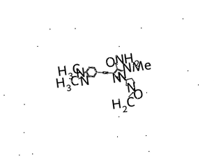 C=CC(=O)N1CC[C@H](n2nc(C#Cc3ccc4c(c3)nc(C)n4C)c(C(N)=O)c2NC)C1